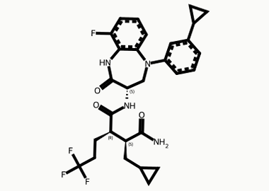 NC(=O)[C@@H](CC1CC1)[C@@H](CCC(F)(F)F)C(=O)N[C@H]1CN(c2cccc(C3CC3)c2)c2cccc(F)c2NC1=O